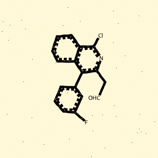 O=CCc1nc(Cl)c2ccccc2c1-c1cccc(F)c1